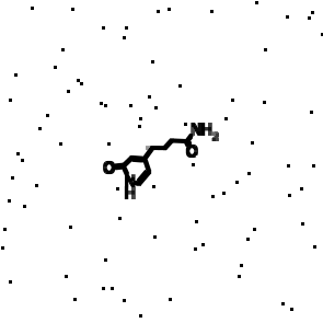 NC(=O)CC[CH]c1cc[nH]c(=O)c1